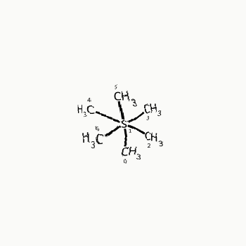 CS(C)(C)(C)(C)C